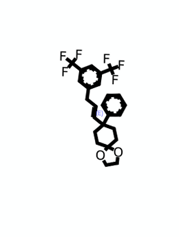 FC(F)(F)c1cc(C/C=C/C2(c3ccccc3)CCC3(CC2)OCCO3)cc(C(F)(F)F)c1